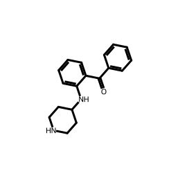 O=C(c1ccccc1)c1ccccc1NC1CCNCC1